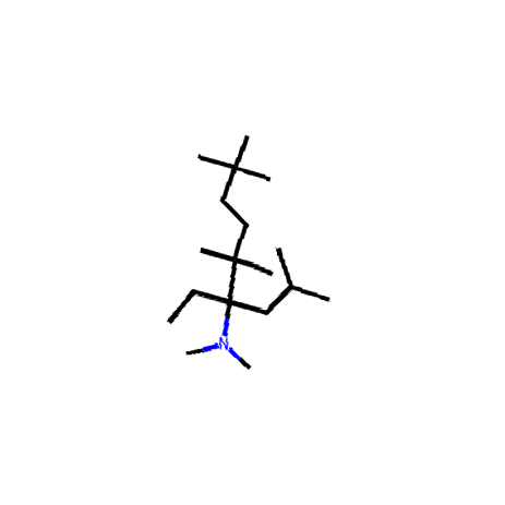 CCC(CC(C)C)(N(C)C)C(C)(C)CCC(C)(C)C